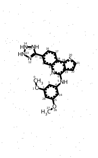 COc1cc(Nc2nc3cc(C4=NNNN4)ccc3c3sccc23)cc(OC)c1